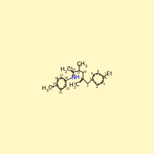 C=C(Cc1ccc(CC)cc1)CC(C)C(=C)Nc1ccc(C)cc1